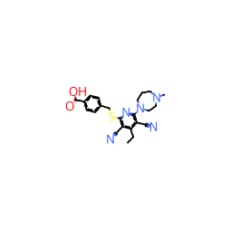 CCc1c(C#N)c(SCc2ccc(C(=O)O)cc2)nc(N2CCCN(C)CC2)c1C#N